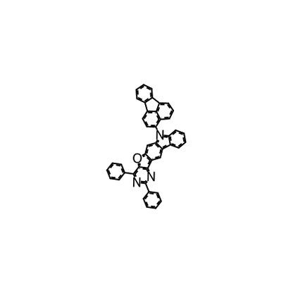 c1ccc(-c2nc(-c3ccccc3)c3oc4cc5c(cc4c3n2)c2ccccc2n5-c2ccc3c4c(cccc24)-c2ccccc2-3)cc1